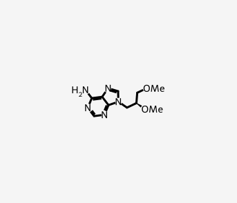 COC[C@H](Cn1cnc2c(N)ncnc21)OC